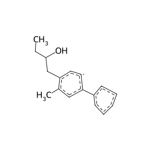 CCC(O)Cc1c[c]c(-c2ccccc2)cc1C